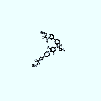 Cc1nc2ccc(-c3ccnc(NC(=O)OC(C)(C)C)c3)nc2n1-c1cc(F)c(N2CCN(C3CN(C(=O)OC(C)(C)C)C3)CC2)c(F)c1